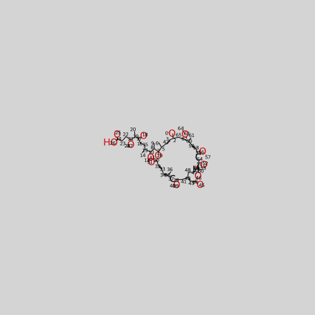 COC1/C=C/C(C)C(C(C)C(OC)C(C)CCC(=O)C(C)C(CCC(=O)O)OC)OC(=O)/C=C/C=C(\C)CC(OC)CC2=CC(=O)O[C@H](C2)C(C)C(OC)CC(OC)/C=C/C(C)C(OC)C1